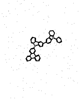 c1ccc(-n2c3c(c4cc(-c5ccc6c(c5)c5ccccc5n6-c5ccc6c7ccccc7c7ccccc7c6c5)ccc42)CCCC3)cc1